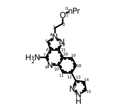 CCCOCCn1cc2c(N)nc3cc(-c4cc[nH]n4)ccc3c2n1